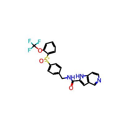 O=C(NCc1ccc([S+]([O-])c2ccccc2OC(F)(F)F)cc1)c1cc2cnccc2[nH]1